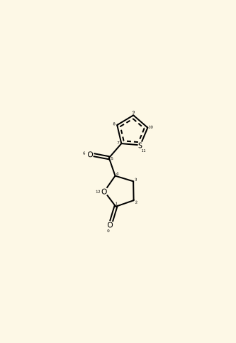 O=C1CCC(C(=O)c2cccs2)O1